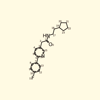 O=C(Cc1ccc(-c2ccc(F)cc2)nc1)NCCC1CCCC1